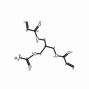 C=CC(=O)OCC(COC(N)=O)COC(=O)C=C